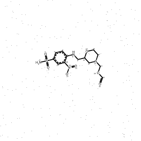 NS(=O)(=O)c1ccc(NCC2CN(COC=O)CCO2)c([N+](=O)[O-])c1